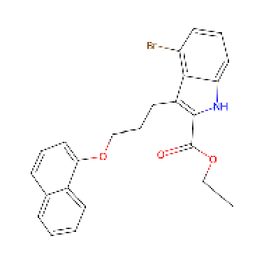 CCOC(=O)c1[nH]c2cccc(Br)c2c1CCCOc1cccc2ccccc12